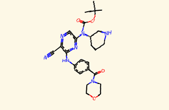 CC(C)(C)OC(=O)N(c1cnc(C#N)c(Nc2ccc(C(=O)N3CCOCC3)cc2)n1)[C@@H]1CCCNC1